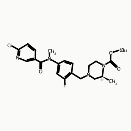 C[C@H]1CN(Cc2ccc(N(C)C(=O)c3ccc(Cl)nc3)cc2F)CCN1C(=O)OC(C)(C)C